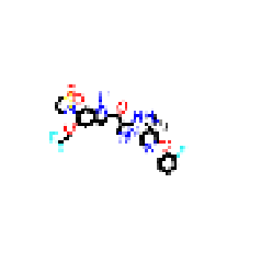 Cc1cc(Oc2ccccc2F)ncc1-n1ncc(C(=O)c2cc3cc(OCC(F)F)c(N4CCCS4(=O)=O)cc3[nH]2)c1N